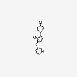 O=c1n(Cc2cccnc2)ccn1-c1ccc(Cl)cc1